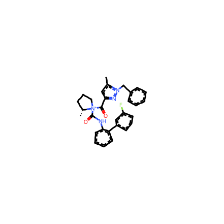 Cc1cc(C(=O)[N+]2(C(=O)Nc3ccccc3-c3cccc(F)c3)CCC[C@H]2C)nn1Cc1ccccc1